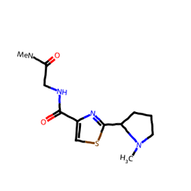 CNC(=O)CNC(=O)c1csc(C2CCCN2C)n1